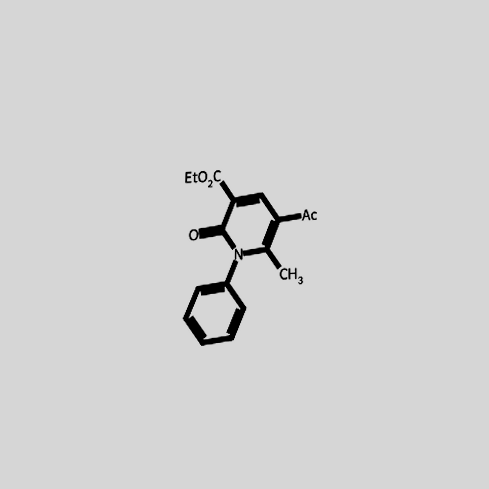 CCOC(=O)c1cc(C(C)=O)c(C)n(-c2ccccc2)c1=O